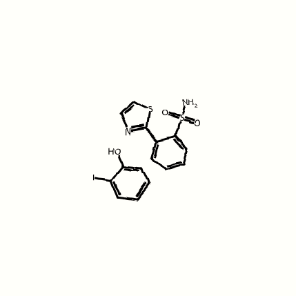 NS(=O)(=O)c1ccccc1-c1nccs1.Oc1ccccc1I